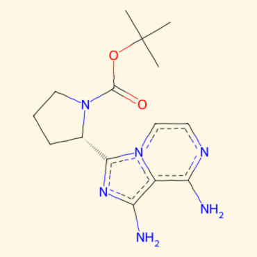 CC(C)(C)OC(=O)N1CCC[C@H]1c1nc(N)c2c(N)nccn12